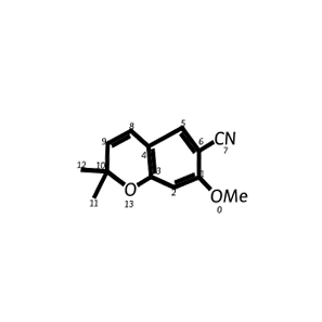 COc1cc2c(cc1C#N)C=CC(C)(C)O2